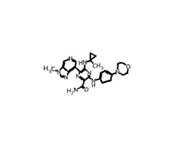 Cn1cnc2c(-c3nc(C(N)=O)c(Nc4ccc(N5CCOCC5)cc4)nc3NC3(C)CC3)cncc21